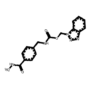 O=C(NCc1ccc(C(=O)NO)cc1)OCn1nnc2ccccc21